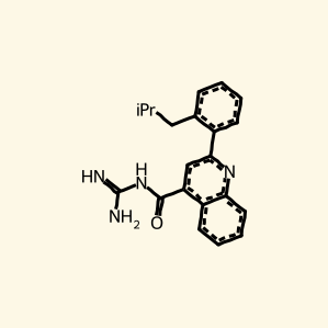 CC(C)Cc1ccccc1-c1cc(C(=O)NC(=N)N)c2ccccc2n1